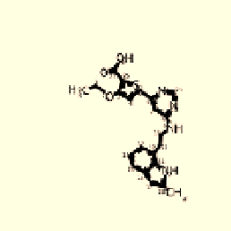 CCOc1cc(-c2cc(NCCc3cccc4cc(C)[nH]c34)ncn2)sc1C(=O)O